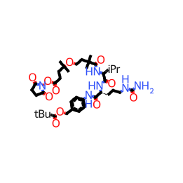 CC(C)C(NC(=O)C(C)(C)CCOC(C)(C)CCC(=O)ON1C(=O)CCC1=O)C(=O)N[C@H](CCCNC(N)=O)C(=O)Nc1ccc(COC(=O)C(C)(C)C)cc1